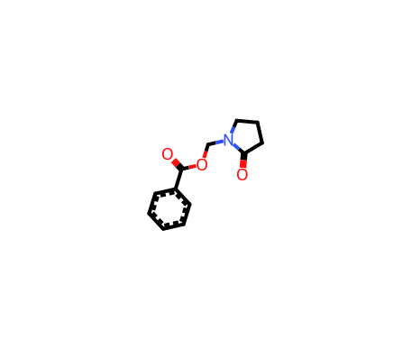 O=C(OCN1CCCC1=O)c1ccccc1